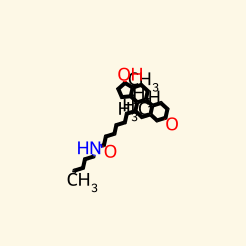 CCCCCNC(=O)CCCCCC1CC2CC(=O)CC[C@]2(C)[C@@H]2CC[C@]3(C)C(O)CC[C@H]3[C@H]12